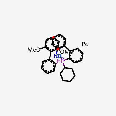 COc1cccc(OC)c1-c1ccccc1[PH](Cl)(c1ccccc1-c1ccccc1N)C1CCCCC1.[Pd]